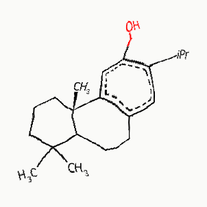 CC(C)c1cc2c(cc1O)[C@@]1(C)CCCC(C)(C)C1CC2